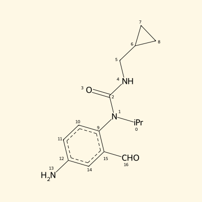 CC(C)N(C(=O)NCC1CC1)c1ccc(N)cc1C=O